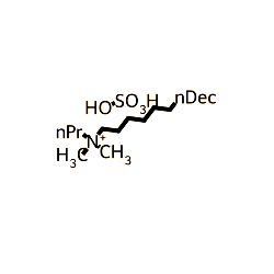 CCCCCCCCCCCCCCCC[N+](C)(C)CCC.O=S(=O)(O)O